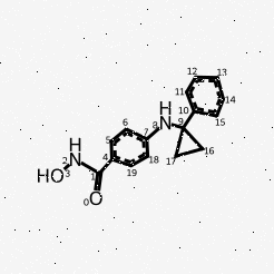 O=C(NO)c1ccc(NC2(c3ccccc3)CC2)cc1